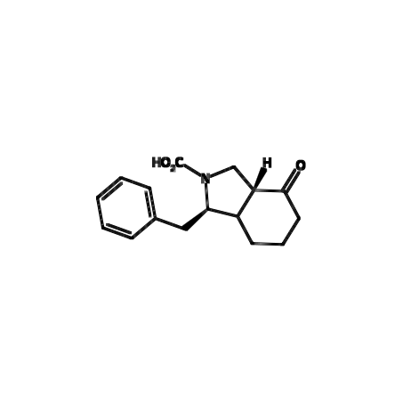 O=C1CCCC2[C@@H]1CN(C(=O)O)[C@@H]2Cc1ccccc1